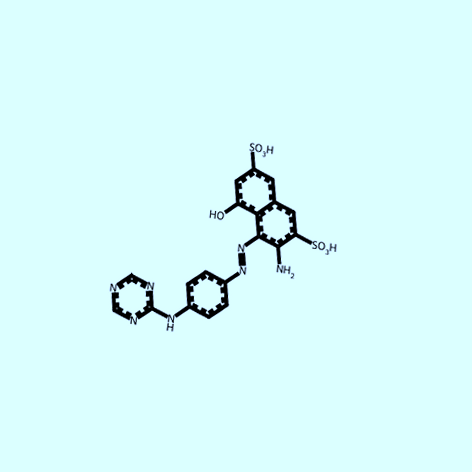 Nc1c(S(=O)(=O)O)cc2cc(S(=O)(=O)O)cc(O)c2c1N=Nc1ccc(Nc2n[c]ncn2)cc1